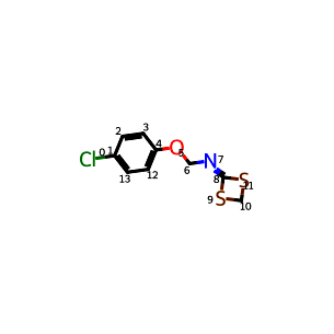 Clc1ccc(OCN=C2SCS2)cc1